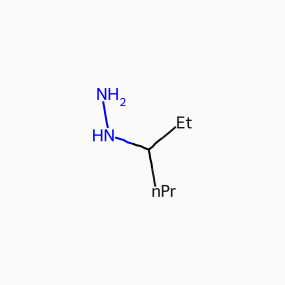 CCCC(CC)NN